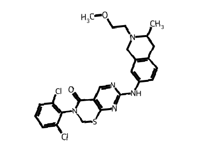 COCCN1Cc2cc(Nc3ncc4c(n3)SCN(c3c(Cl)cccc3Cl)C4=O)ccc2CC1C